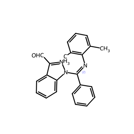 Cc1cccc(C)c1/N=C(/c1ccccc1)n1nc(C=O)c2ccccc21